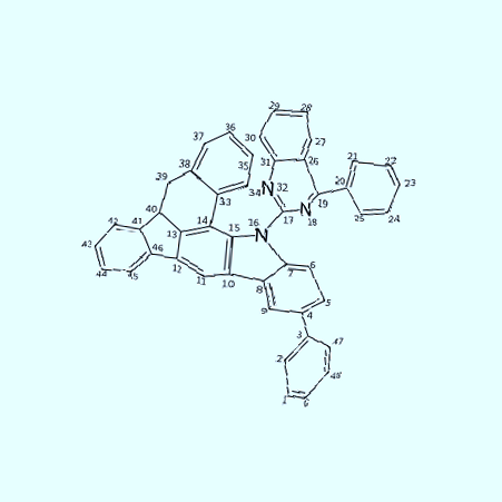 c1ccc(-c2ccc3c(c2)c2cc4c5c(c2n3-c2nc(-c3ccccc3)c3ccccc3n2)-c2ccccc2CC5c2ccccc2-4)cc1